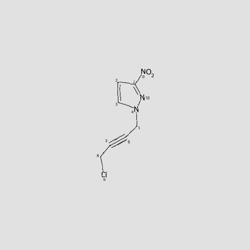 O=[N+]([O-])c1ccn(CC#CCCl)n1